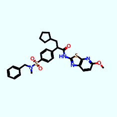 COc1ccc2nc(NC(=O)C(CC3CCCC3)c3ccc(S(=O)(=O)N(C)Cc4ccccc4)cc3)sc2n1